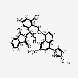 Cc1cc(-n2cnc(C)n2)c2cccc(OCc3c(Cl)cc(F)cc3C(C)N3C(=O)c4ccccc4C3=O)c2n1